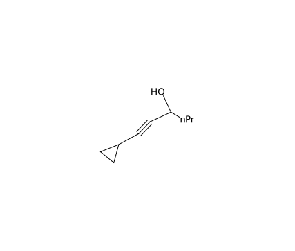 CCCC(O)C#CC1CC1